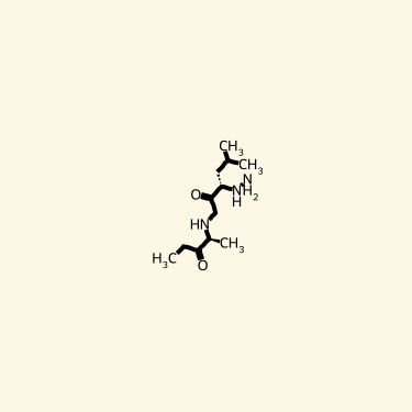 CCC(=O)[C@H](C)NCC(=O)[C@H](CC(C)C)NN